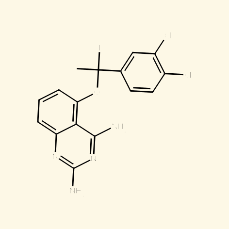 CC(I)(Oc1cccc2nc(N)nc(N)c12)c1ccc(Cl)c(Cl)c1